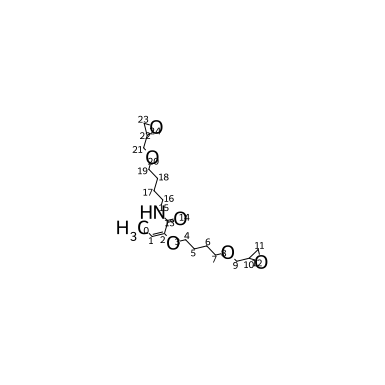 CC=C(OCCCCOCC1CO1)C(=O)NCCCCOCC1CO1